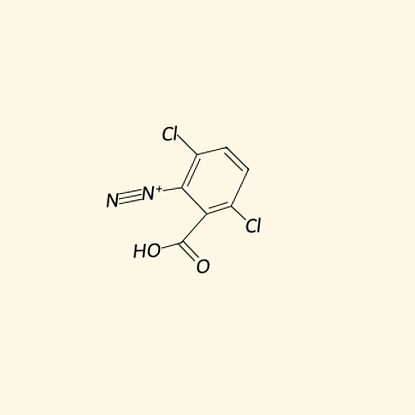 N#[N+]c1c(Cl)ccc(Cl)c1C(=O)O